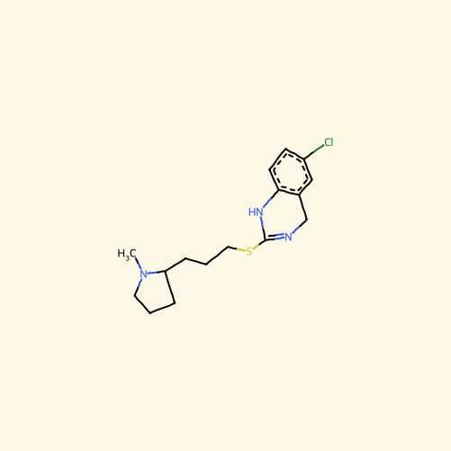 CN1CCCC1CCCSC1=NCc2cc(Cl)ccc2N1